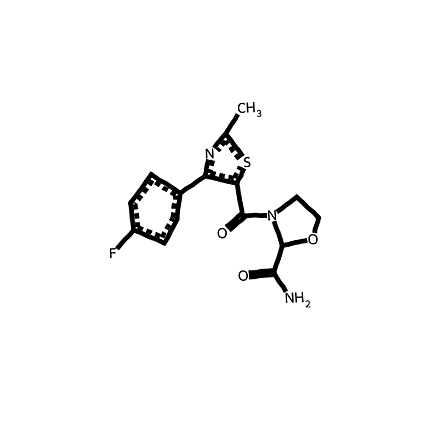 Cc1nc(-c2ccc(F)cc2)c(C(=O)N2CCOC2C(N)=O)s1